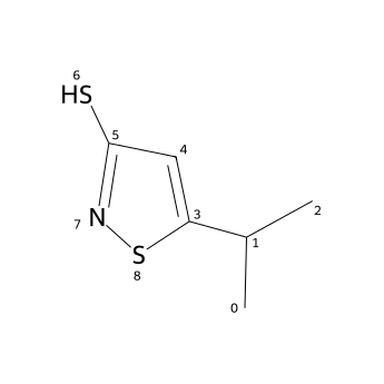 CC(C)c1cc(S)ns1